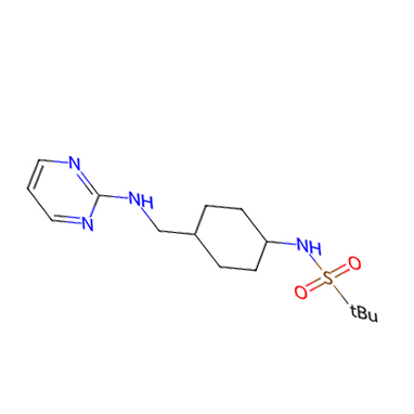 CC(C)(C)S(=O)(=O)NC1CCC(CNc2ncccn2)CC1